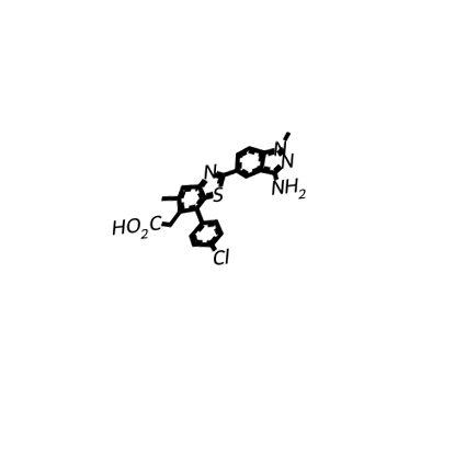 Cc1cc2nc(-c3ccc4c(c3)c(N)nn4C)sc2c(-c2ccc(Cl)cc2)c1CC(=O)O